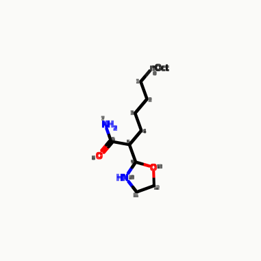 CCCCCCCCCCCCC(C(N)=O)C1NCCO1